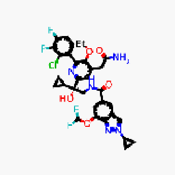 CCOc1c(CC(N)=O)cc([C@@](O)(CNC(=O)c2cc(OC(F)F)c3nn(C4CC4)cc3c2)C2CC2)nc1-c1ccc(F)c(F)c1Cl